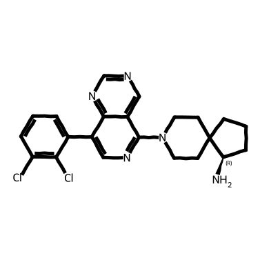 N[C@@H]1CCCC12CCN(c1ncc(-c3cccc(Cl)c3Cl)c3ncncc13)CC2